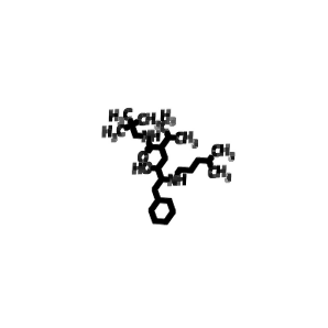 CC(C)CCCNC(CC1CCCCC1)C(O)CC(C(=O)NCC(C)(C)C)C(C)C